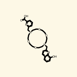 O=C(O)c1cccc(CN2CCOCCOCCN(Cc3ccc4cccc(O)c4n3)CCOCCOCC2)n1